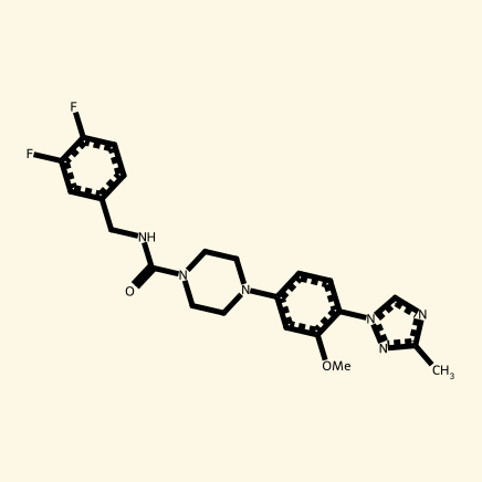 COc1cc(N2CCN(C(=O)NCc3ccc(F)c(F)c3)CC2)ccc1-n1cnc(C)n1